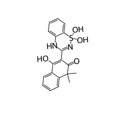 CC1(C)C(=O)C(C2=NS(O)(O)c3ccccc3N2)=C(O)c2ccccc21